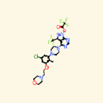 Cc1c(OCCN2CCOCC2)cc(Cl)cc1N1CCN(c2ncnc3c2c(C(F)(F)F)nn3OC(=O)C(F)(F)F)CC1